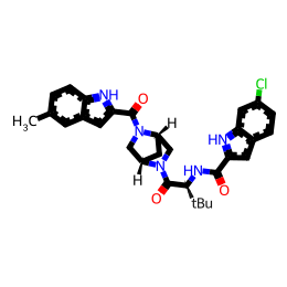 Cc1ccc2[nH]c(C(=O)N3C[C@@H]4C[C@H]3CN4C(=O)[C@@H](NC(=O)c3cc4ccc(Cl)cc4[nH]3)C(C)(C)C)cc2c1